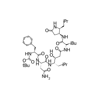 CC[C@H](C)[C@H](NC(=O)C[C@H](O)[C@H](CC(C)C)NC(=O)[C@H](CC(N)=O)NC(=O)[C@H](Cc1ccccc1)NC(=O)OC(C)(C)C)C(=O)N[C@H]1CC(=O)N[C@H]1CC(C)C